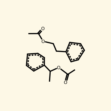 CC(=O)OC(C)c1ccccc1.CC(=O)OCCc1ccccc1